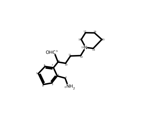 NCc1ccccc1C(C=O)CCCN1CCCCC1